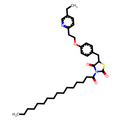 CCCCCCCCCCCCCCCC(=O)N1C(=O)SC(Cc2ccc(OCCc3ccc(CC)cn3)cc2)C1=O